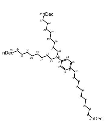 CCCCCCCCCCCCCCCCCCCCc1ccc(N(CCCCCCCCCCCCCCCCCC)CCCCCCCCCCCCCCCCCC)cc1